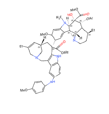 CCC1=C[C@H]2CN(C1)Cc1c([nH]c3ccc(Nc4ccc(OC)cc4)cc13)[C@@](C(=O)OC)(C1C=C3C(=CC1OC)N(C)[C@H]1[C@@](O)(C(=O)OC)[C@H](OC(C)=O)C4[C@@H](CC)CCN5CC[C@]31[C@H]45)C2